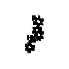 Fc1cccc(-c2ccc3c(NCCc4ccccc4)nccc3n2)c1